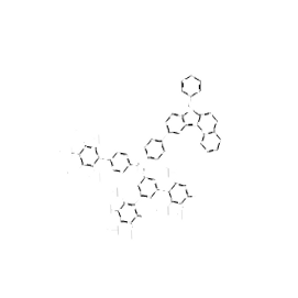 [2H]c1c([2H])c([2H])c(-c2ccc(N(c3ccc(-c4ccc5c(c4)c4c6ccccc6ccc4n5-c4ccccc4)cc3)c3cc(-c4c([2H])c([2H])c([2H])c([2H])c4[2H])cc(-c4c([2H])c([2H])c([2H])c([2H])c4[2H])c3)cc2)c([2H])c1[2H]